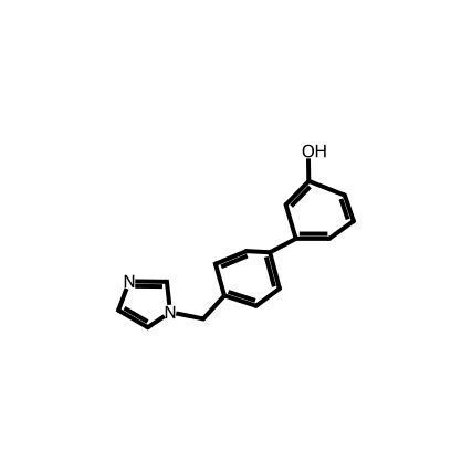 Oc1cccc(-c2ccc(Cn3ccnc3)cc2)c1